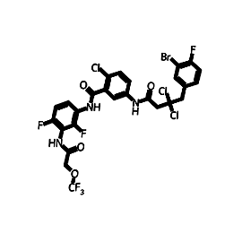 O=C(CC(Cl)(Cl)Cc1ccc(F)c(Br)c1)Nc1ccc(Cl)c(C(=O)Nc2ccc(F)c(NC(=O)COC(F)(F)F)c2F)c1